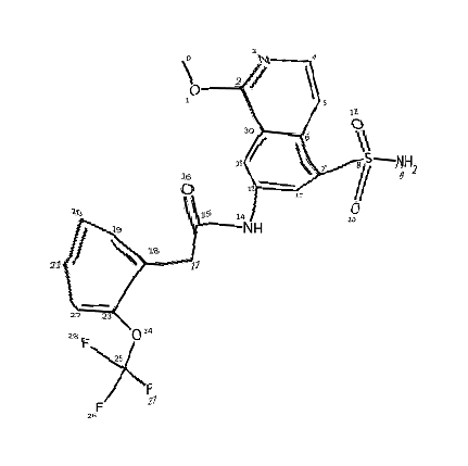 COc1nccc2c(S(N)(=O)=O)cc(NC(=O)Cc3ccccc3OC(F)(F)F)cc12